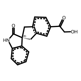 O=C(CO)c1ccc2c(c1)C[C@@]1(C2)C(=O)Nc2ccccc21